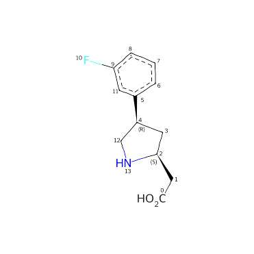 O=C(O)C[C@@H]1C[C@H](c2cc[c]c(F)c2)CN1